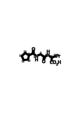 CC(C)C(NC(=O)CNC(=O)C1CCCC1)C(=O)O